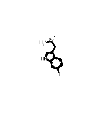 C[C@@H](N)Cc1c[nH]c2cc(I)ccc12